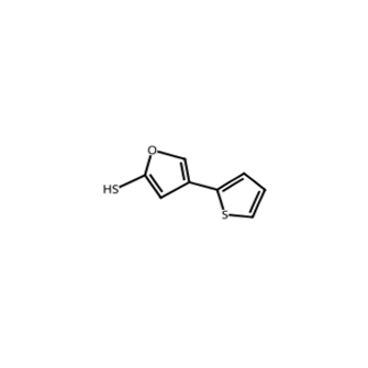 Sc1cc(-c2cccs2)co1